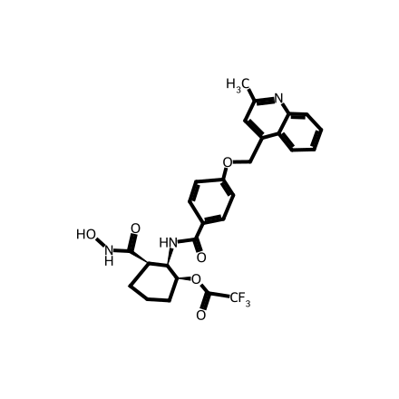 Cc1cc(COc2ccc(C(=O)N[C@H]3[C@@H](OC(=O)C(F)(F)F)CCC[C@H]3C(=O)NO)cc2)c2ccccc2n1